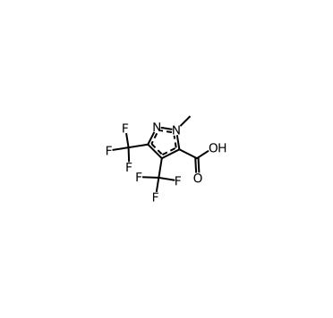 Cn1nc(C(F)(F)F)c(C(F)(F)F)c1C(=O)O